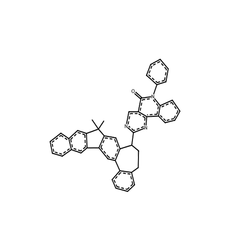 CC1(C)c2cc3c(cc2-c2cc4ccccc4cc21)-c1ccccc1CCC3c1ncc2c(=O)n(-c3ccccc3)c3ccccc3c2n1